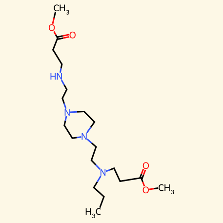 CCCN(CCC(=O)OC)CCN1CCN(CCNCCC(=O)OC)CC1